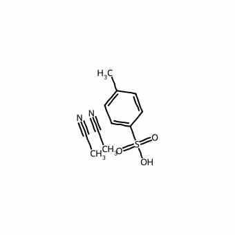 CC#N.CC#N.Cc1ccc(S(=O)(=O)O)cc1